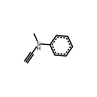 C#C[SiH](C)c1ccccc1